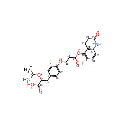 CC(C)OC(Cc1ccc(OCCC(O)Oc2cccc3c2CCC(=O)N3)cc1)C(=O)O